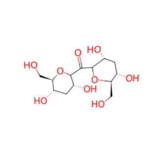 O=C(C1O[C@H](CO)[C@@H](O)C[C@H]1O)C1O[C@H](CO)[C@@H](O)C[C@H]1O